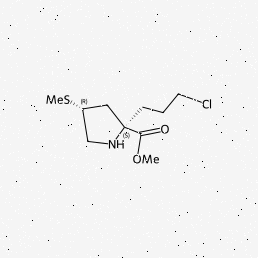 COC(=O)[C@]1(CCCCl)C[C@@H](SC)CN1